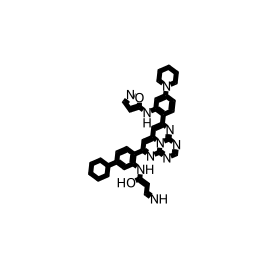 N=C/C=C(\O)Nc1cc(C2CCCCC2)ccc1C1=NC2=NC=NC3=NC(c4ccc(N5CCCCC5)cc4Nc4ccno4)=CC(=C1)N23